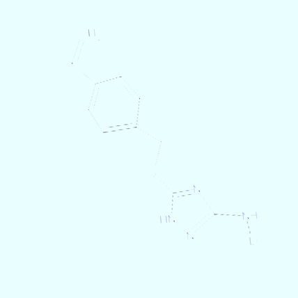 C=Cc1ccc(CSc2nc(NCC)n[nH]2)cc1